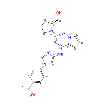 CC(O)c1ccc(-n2cnc(Nc3nc(N4CCC[C@H]4CO)nn4cccc34)c2)cc1